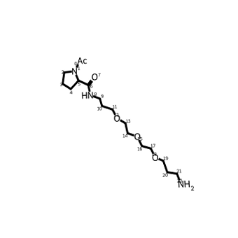 CC(=O)N1CCCC1C(=O)NCCCOCCOCCOCCCN